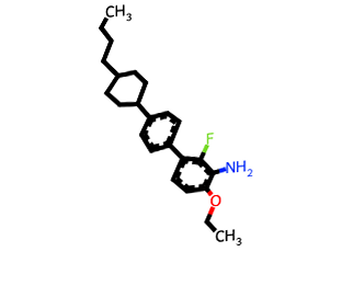 CCCCC1CCC(c2ccc(-c3ccc(OCC)c(N)c3F)cc2)CC1